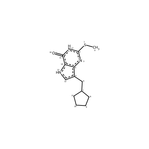 CSc1nc2c(CC3CCCC3)c[nH]c2c(=O)[nH]1